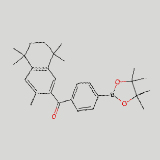 Cc1cc2c(cc1C(=O)c1ccc(B3OC(C)(C)C(C)(C)O3)cc1)C(C)(C)CCC2(C)C